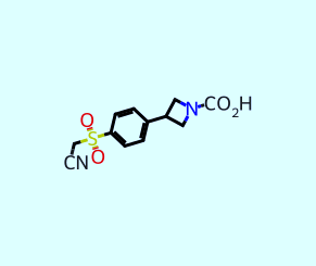 N#CCS(=O)(=O)c1ccc(C2CN(C(=O)O)C2)cc1